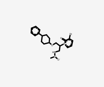 CCc1cccn(C(CN[S+](C)[O-])COC2CCC(c3ccccc3)CC2)c1=O